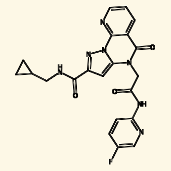 O=C(Cn1c(=O)c2cccnc2n2nc(C(=O)NCC3CC3)cc12)Nc1ccc(F)cn1